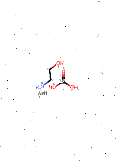 NCCO.O=[Si](O)O.[NaH]